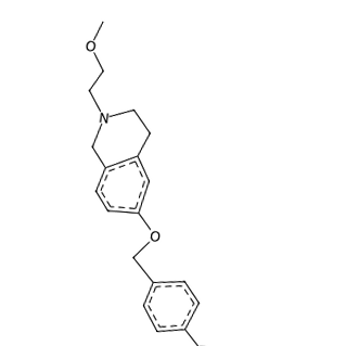 COCCN1CCc2cc(OCc3ccc(F)cc3)ccc2C1